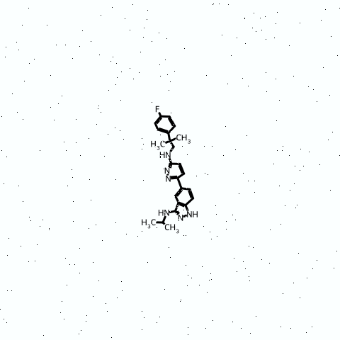 CC(C)Nc1n[nH]c2ccc(-c3ccc(NCC(C)(C)c4ccc(F)cc4)nn3)cc12